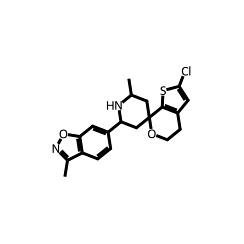 Cc1noc2cc(C3CC4(CC(C)N3)OCCc3cc(Cl)sc34)ccc12